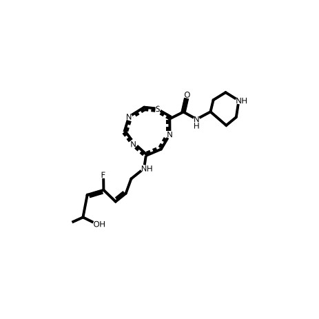 CC(O)/C=C(F)\C=C/CNc1cnc(C(=O)NC2CCNCC2)scncn1